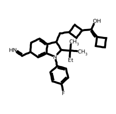 CCC(C)(C)C1C(CC2CC(C(O)=C3CCC3)C2)C2=CCC(C=N)C=C2N1c1ccc(F)cc1